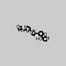 CN1CC[C@@](O)(c2cccc(-c3ccn(-c4ccnc(NC5COC5)n4)n3)c2)C1=O